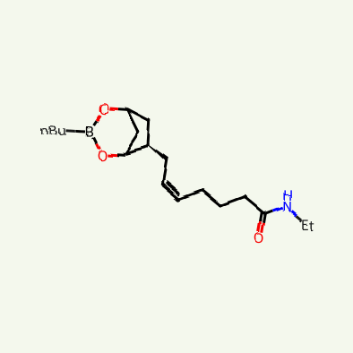 CCCCB1OC2CC(O1)[C@H](C/C=C\CCCC(=O)NCC)C2